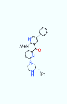 CNc1ncc(-c2ccccc2)cc1C(=O)c1cccc(N2CCN[C@@H](CC(C)C)C2)n1